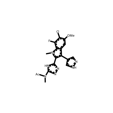 COc1cc2c(-c3cn[nH]c3)c(-c3nnc(N(C)C(C)=O)[nH]3)n(C)c2c(F)c1Cl